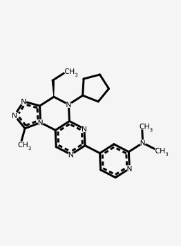 CC[C@@H]1c2nnc(C)n2-c2cnc(-c3ccnc(N(C)C)c3)nc2N1C1CCCC1